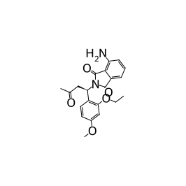 CCOc1cc(OC)ccc1[C@@H](CC(C)=O)N1C(=O)c2cccc(N)c2C1=O